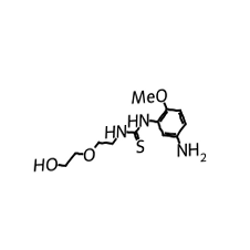 COc1ccc(N)cc1NC(=S)NCCOCCO